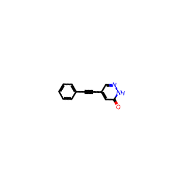 O=c1cc(C#Cc2ccccc2)cn[nH]1